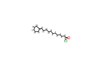 O=C(Cl)CCCCCCCCCCCC1CCCCC1